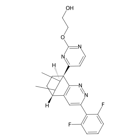 CC1[C@@H](C)[C@]2(c3ccnc(OCCO)n3)CC[C@H]1c1cc(-c3c(F)cccc3F)nnc12